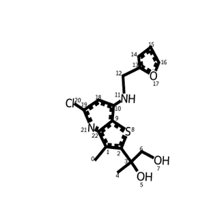 Cc1c(C(C)(O)CO)sc2c(NCc3ccco3)cc(Cl)nc12